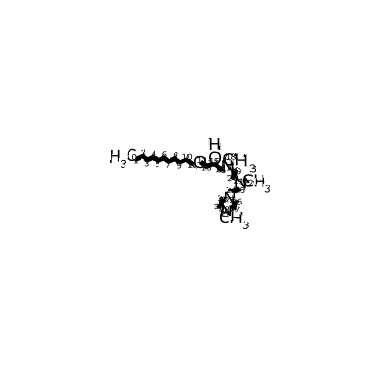 CCCCCCCCCCCCOCC(O)CN(C)CCN(C)CCN1CCN(C)CC1